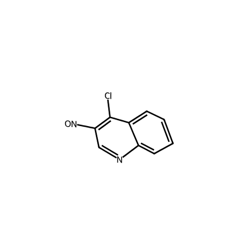 O=Nc1cnc2ccccc2c1Cl